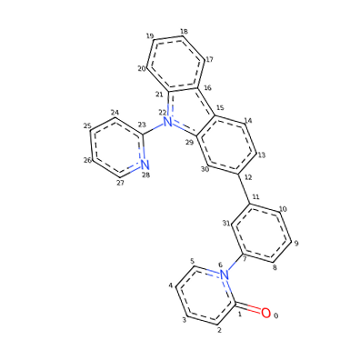 O=c1ccccn1-c1cccc(-c2ccc3c4ccccc4n(-c4ccccn4)c3c2)c1